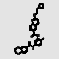 Cc1ccc(NC(=O)c2ccc3c(c2)OCCO3)cc1NC(=O)c1ccc2nc(OCCN3CCC3)ccc2c1